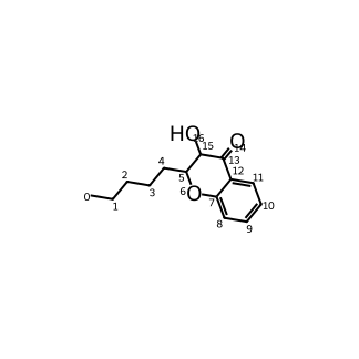 CCCCCC1Oc2ccccc2C(=O)C1O